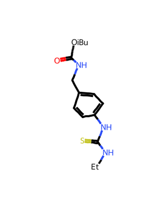 CCNC(=S)Nc1ccc(CNC(=O)OCC(C)C)cc1